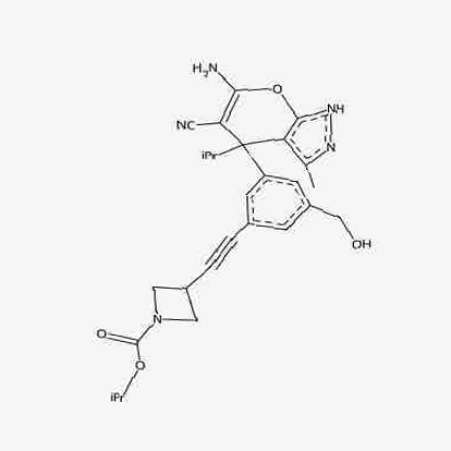 Cc1n[nH]c2c1C(c1cc(C#CC3CN(C(=O)OC(C)C)C3)cc(CO)c1)(C(C)C)C(C#N)=C(N)O2